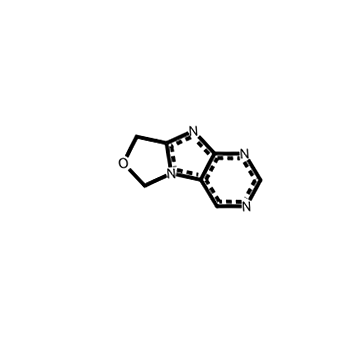 c1ncc2c(n1)nc1n2COC1